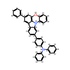 c1ccc(-c2cc3c4c(c2)c2ccc(-c5ccc(N(c6ccccc6)c6ccccc6)cc5)cc2n4-c2ccccc2O3)cc1